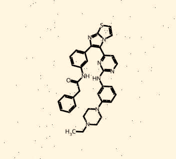 CCN1CCN(c2cccc(Nc3nccc(-c4c(-c5cccc(NC(=O)Cc6ccccc6)c5)nc5sccn45)n3)c2)CC1